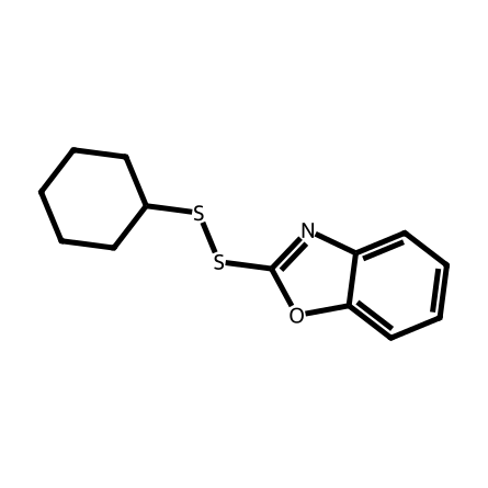 c1ccc2oc(SSC3CCCCC3)nc2c1